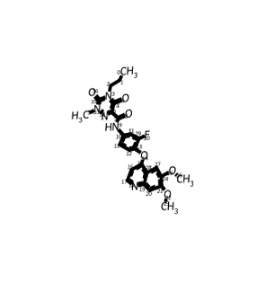 CCCn1c(=O)c(C(=O)Nc2ccc(Oc3ccnc4cc(OC)c(OC)cc34)c(F)c2)nn(C)c1=O